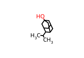 CC(C)C1C2CC3CC1CC(O)(C3)C2